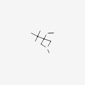 CNC1(C(C)(C)C)CN(C)C1